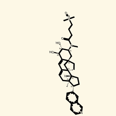 CN(C(=O)CCC[SH](C)(C)=O)[C@H]1C[C@@]23CC[C@@]4(C2)C(=CC[C@]2(C)[C@@H](c5ccc6ccncc6c5)CC[C@@H]42)C=C3[C@@H](O)[C@@H]1O